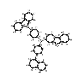 c1ccc2c(-c3ccc(N(c4ccc(-n5c6ccccc6c6ccccc65)cc4)c4ccc5c(c4)sc4ccccc45)cc3)cccc2c1